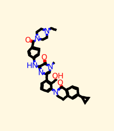 CCN1CCN(C(=O)c2ccc(Nc3nc(-c4cccc(N5CCc6cc(C7CC7)ccc6C5=O)c4CO)cn(C)c3=O)cc2)CC1